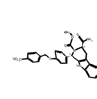 CC(C)(C)OC(=O)N1[C@@H](c2ccc(OCc3ccc(C(=O)O)cc3)cc2)c2[nH]c3ccccc3c2C[C@@H]1C(N)=O